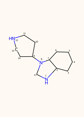 [CH]1NC2CCCCC2N1C1CCNCC1